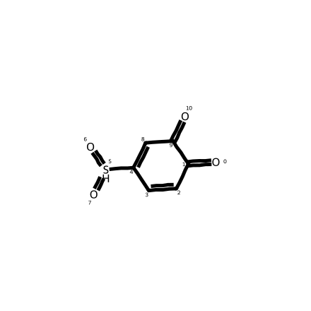 O=C1C=CC([SH](=O)=O)=CC1=O